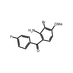 COc1ccc(C(=O)c2ccc(F)cc2)c(N)c1Br